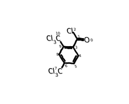 O=C(Cl)c1ccc(C(Cl)(Cl)Cl)cc1C(Cl)(Cl)Cl